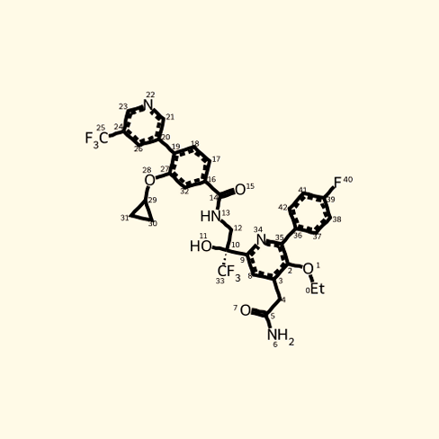 CCOc1c(CC(N)=O)cc([C@@](O)(CNC(=O)c2ccc(-c3cncc(C(F)(F)F)c3)c(OC3CC3)c2)C(F)(F)F)nc1-c1ccc(F)cc1